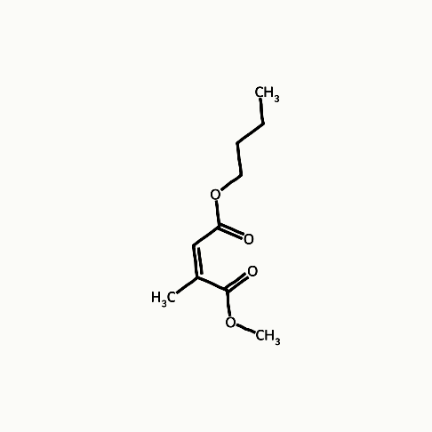 CCCCOC(=O)C=C(C)C(=O)OC